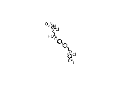 O=[N+]([O-])c1cn(CCC(O)COc2ccc(N3CCC(CCOc4ncc(C(F)(F)F)cc4Cl)CC3)cc2)c(Cl)n1